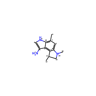 Cc1cc2c(c3c(N)c[nH]c13)C(C)CN2C